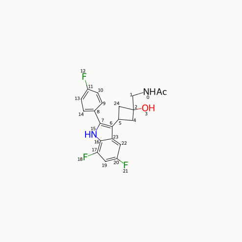 CC(=O)NCC1(O)CC(c2c(-c3ccc(F)cc3)[nH]c3c(F)cc(F)cc23)C1